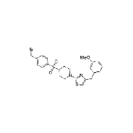 COc1cccc(Cc2csc(N3CCC(S(=O)(=O)c4ccc(CBr)cc4)CC3)n2)c1